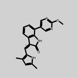 COc1ncc(-c2cccc3c2NC(=O)/C3=C\c2[nH]c(C)cc2C)cn1